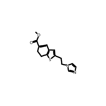 COC(=O)C1=Cc2cc(CCn3ccnc3)sc2CC1